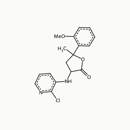 COc1ccccc1C1(C)CC(Nc2cccnc2Cl)C(=O)O1